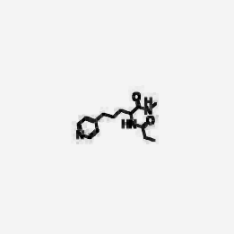 CCC(=O)NC(CCCc1ccncc1)C(=O)NC